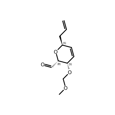 C=CC[C@H]1C=C[C@H](OCOC)[C@H](C=O)O1